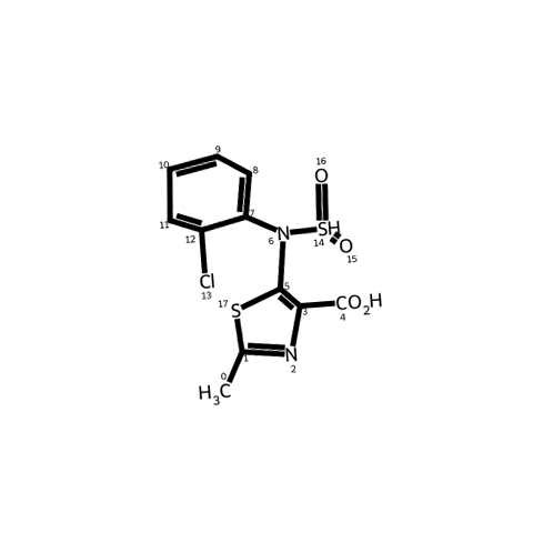 Cc1nc(C(=O)O)c(N(c2ccccc2Cl)[SH](=O)=O)s1